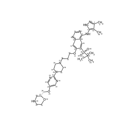 Cc1n[nH]c(Nc2ncnc3cc(OCCCN4CCN(c5ncc(OC[C@H]6CNCCO6)cn5)CC4)c(S(=O)(=O)C(C)(C)C)cc23)c1C